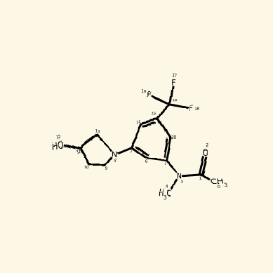 CC(=O)N(C)c1cc(N2CCC(O)C2)cc(C(F)(F)F)c1